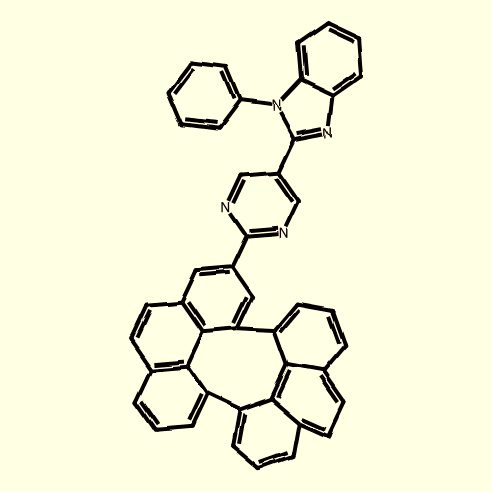 c1ccc(-n2c(-c3cnc(-c4cc5ccc6cccc7c8cccc9ccc%10cccc(c(c4)c5c67)c%10c98)nc3)nc3ccccc32)cc1